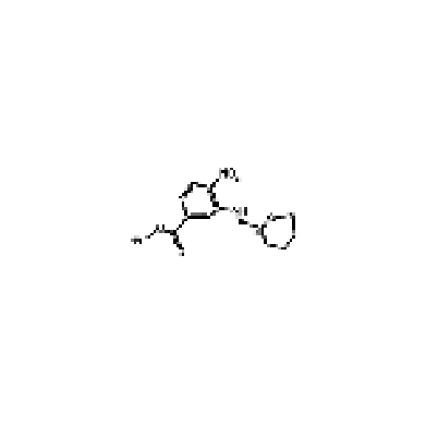 CC(C)(C)OC(=O)c1ccc([N+](=O)[O-])c(NC[C@@H]2CCCCO2)c1